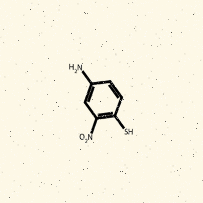 Nc1ccc(S)c([N+](=O)[O-])c1